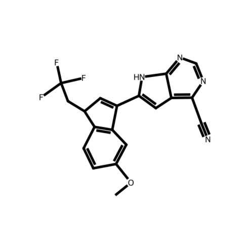 COc1ccc2c(c1)C(c1cc3c(C#N)ncnc3[nH]1)=CC2CC(F)(F)F